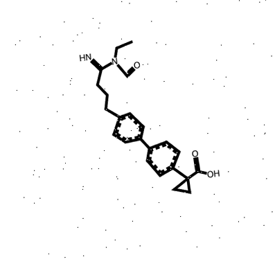 CCN(C=O)C(=N)CCCc1ccc(-c2ccc(C3(C(=O)O)CC3)cc2)cc1